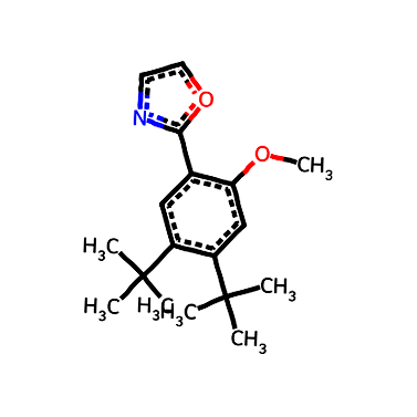 COc1cc(C(C)(C)C)c(C(C)(C)C)cc1-c1ncco1